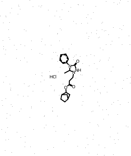 CC1N(CCC(=O)OC2CC3CCC2C3)NC(=O)N1c1ccccc1.Cl